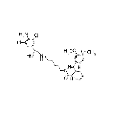 COc1ccc(C2=NN(CCCCCCNCC(O)c3cc(Cl)c(N)c(Cl)c3)C(=O)[C@@H]3CC=CC[C@H]23)cc1OC